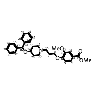 COC(=O)c1ccc(OCCCN2CCC(OC(c3ccccc3)c3ccccc3)CC2)c(OC)c1